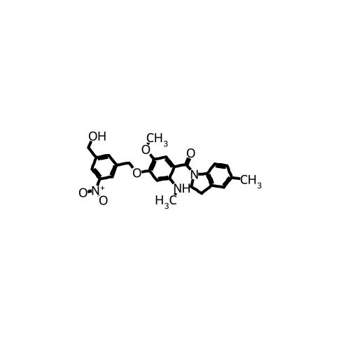 CNc1cc(OCc2cc(CO)cc([N+](=O)[O-])c2)c(OC)cc1C(=O)N1CCc2cc(C)ccc21